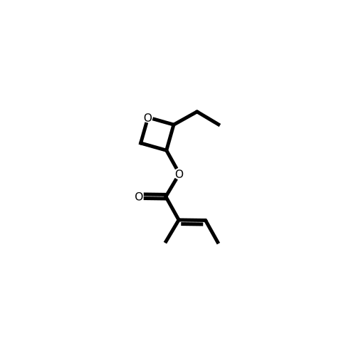 CC=C(C)C(=O)OC1COC1CC